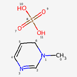 CN1C=NC=CC1.O=S(=O)(O)O